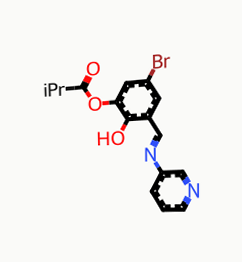 CC(C)C(=O)Oc1cc(Br)cc(C=Nc2cccnc2)c1O